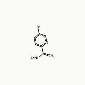 C=C(NC(C)=O)c1ccc(Br)cn1